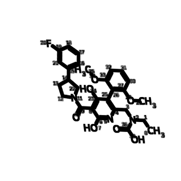 CCN(Cc1nc(O)c(C(=O)N2CCC(c3cccc(F)c3)C2)c(O)c1-c1c(OC)cccc1OC)C(=O)O